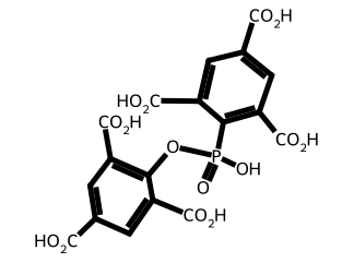 O=C(O)c1cc(C(=O)O)c(OP(=O)(O)c2c(C(=O)O)cc(C(=O)O)cc2C(=O)O)c(C(=O)O)c1